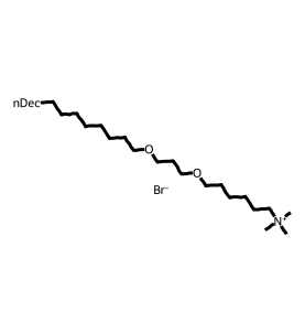 CCCCCCCCCCCCCCCCCCOCCCOCCCCCC[N+](C)(C)C.[Br-]